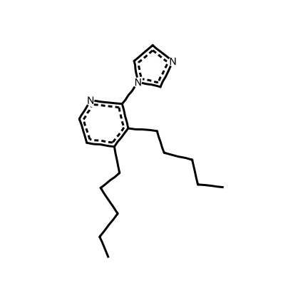 CCCCCc1ccnc(-n2ccnc2)c1CCCCC